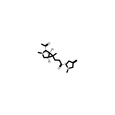 C=C1C[C@@H](C(=O)CCC2(C)[C@@H]3[C@@H](C(C)=O)N(C)C[C@@H]32)N(C)C1